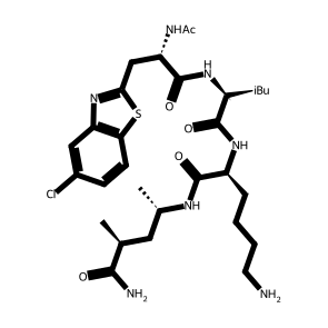 CC[C@H](C)[C@H](NC(=O)[C@H](Cc1nc2cc(Cl)ccc2s1)NC(C)=O)C(=O)N[C@@H](CCCCN)C(=O)N[C@@H](C)C[C@H](C)C(N)=O